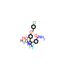 Cn1nc(C(F)(F)F)c(-c2cccc(C(N)=O)c2)c1-c1ccc(OCc2ccc(Cl)cc2)cc1O